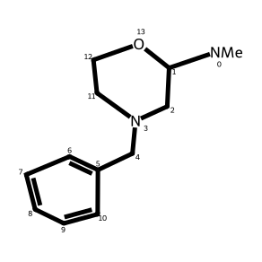 CNC1CN(Cc2ccccc2)CCO1